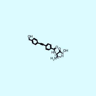 C[C@@H](N)[C@H](NC(=O)c1ccc(C#Cc2ccc(CO)cc2)cc1)C(=O)NO